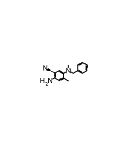 Cc1cc(N)c(C#N)cc1N(C)Cc1ccccc1